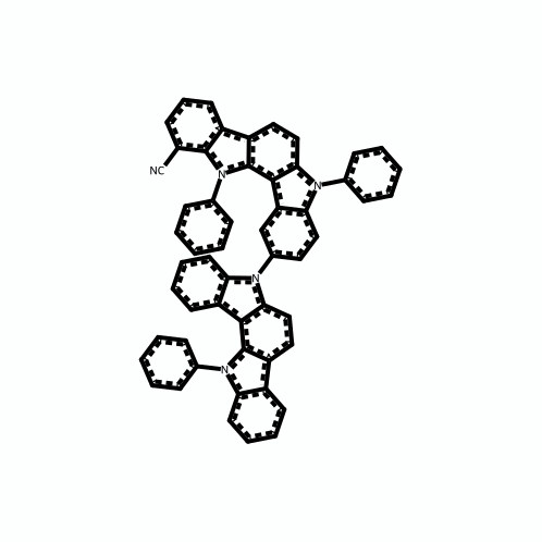 N#Cc1cccc2c3ccc4c(c5cc(-n6c7ccccc7c7c6ccc6c8ccccc8n(-c8ccccc8)c67)ccc5n4-c4ccccc4)c3n(-c3ccccc3)c12